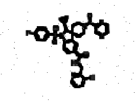 O=C(NCc1ncccc1Cl)c1ccc2c(c1)C1(CCN(C(=O)c3cnccn3)CC1)C(C1CC1)N2S(=O)(=O)c1ccc(F)cc1